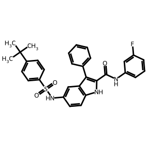 CC(C)(C)c1ccc(S(=O)(=O)Nc2ccc3[nH]c(C(=O)Nc4cccc(F)c4)c(-c4ccccc4)c3c2)cc1